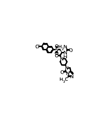 Cc1ncc2n1C(=O)N(C1CCN(C(=O)[C@@H](CS(=O)(=O)c3ccc4cc(Cl)ccc4c3)NC(N)=O)CC1)C2